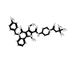 COc1c(C(=O)NC2CCN(C(=O)CC(C)(C)C)CC2)n(C)c2c1c(=O)n(Cc1ccc(C)cc1)c1ccccc21